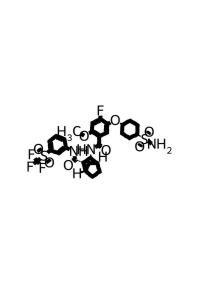 COc1cc(F)c(O[C@H]2CC[C@@H](S(N)(=O)=O)CC2)cc1C(=O)N[C@@H]1[C@@H]2CC[C@@H](C2)[C@@H]1C(=O)Nc1cccc(S(=O)(=O)C(F)(F)F)c1